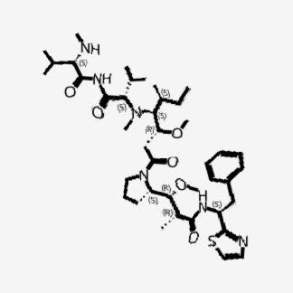 CC[C@H](C)[C@@H]([C@@H](CC(=O)N1CCC[C@H]1[C@H](OC)[C@@H](C)C(=O)N[C@@H](Cc1ccccc1)c1nccs1)OC)N(C)[C@H](C(=O)NC(=O)[C@@H](NC)C(C)C)C(C)C